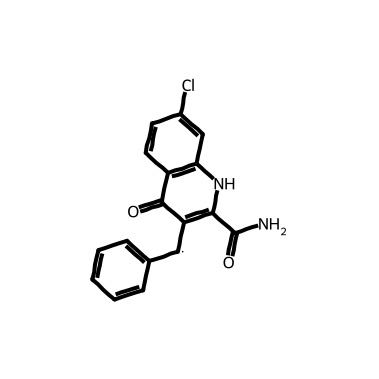 NC(=O)c1[nH]c2cc(Cl)ccc2c(=O)c1[CH]c1ccccc1